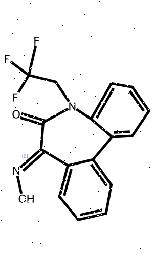 O=c1/c(=N/O)c2ccccc2c2ccccc2n1CC(F)(F)F